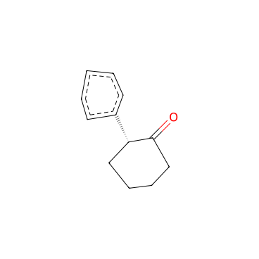 O=C1CCCC[C@@H]1c1ccccc1